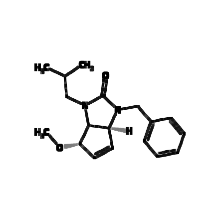 CO[C@H]1C=C[C@H]2C1N(CC(C)C)C(=O)N2Cc1ccccc1